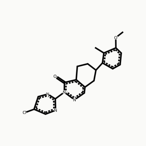 COc1cccc(C2CCc3c(cnn(-c4ncc(Cl)cn4)c3=O)C2)c1C